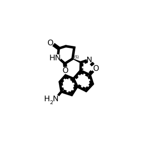 Nc1ccc2c(ccc3onc([C@@H]4CCC(=O)NC4=O)c32)c1